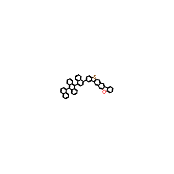 c1ccc2c(-c3c4ccccc4c(-c4ccc(-c5ccc6sc7cc8cc9c(cc8cc7c6c5)oc5ccccc59)c5ccccc45)c4ccccc34)cccc2c1